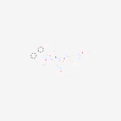 C=C([C@H](CCCNC(=O)OC(C)(C)C)NC(=O)[C@H](Cc1cc(-c2ccc(F)c(C)c2)ccc1O)NC(=O)OC(C)(C)C)N(C)CC(=O)N[C@H](CCO)CCCNC(=O)OC(C)(C)C